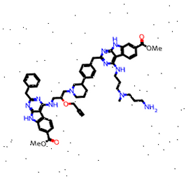 C#CCOC(CNc1nc(Cc2ccccc2)nc2[nH]c3cc(C(=O)OC)ccc3c12)CN1CCCC(c2ccc(Cc3nc(NCCCN(C)CCCN)c4c(n3)[nH]c3cc(C(=O)OC)ccc34)cc2)C1